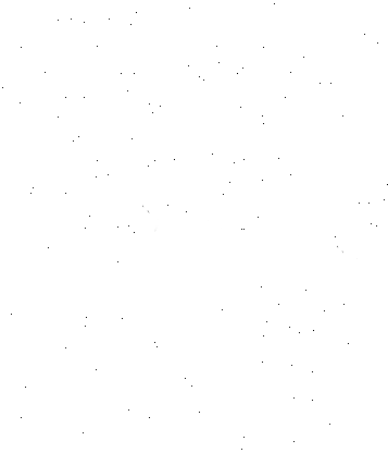 NCCOCCOCCOCCC(=O)NCCCCCCO